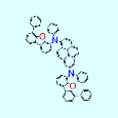 c1ccc(-c2cccc3c2oc2c(N(c4ccccc4)c4cc5ccc6ccc(N(c7ccccc7)c7cccc8c7oc7c(-c9ccccc9)cccc78)c7ccc(c4)c5c67)cccc23)cc1